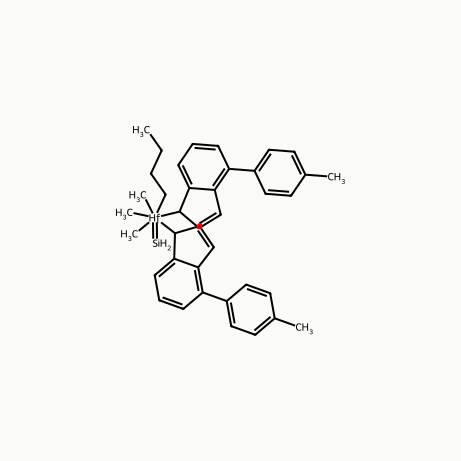 CCC[CH2][Hf]([CH3])([CH3])([CH3])(=[SiH2])([CH]1C=Cc2c(-c3ccc(C)cc3)cccc21)[CH]1C=Cc2c(-c3ccc(C)cc3)cccc21